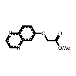 COC(=O)COc1ccc2nccnc2c1